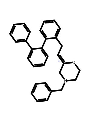 C(/Cc1ccccc1-c1ccccc1-c1ccccc1)=C1\CN(Cc2ccccc2)CCO1